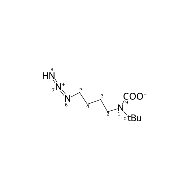 CC(C)(C)N(CCCCN=[N+]=N)C(=O)[O-]